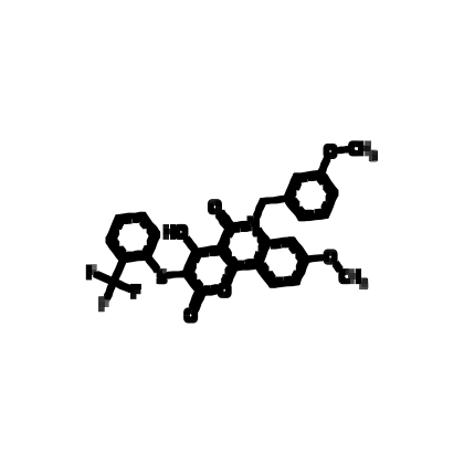 COc1cccc(Cn2c(=O)c3c(O)c(Sc4ccccc4C(F)(F)F)c(=O)oc3c3ccc(OC)cc32)c1